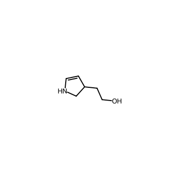 OCCC1C=CNC1